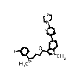 C[C@H](CCCC(=O)c1cn(C)c2ccc(-c3ccc(N4CCOCC4)nc3)cc12)c1cccc(F)c1